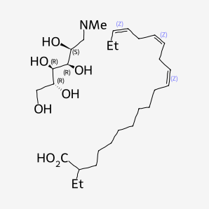 CC/C=C\C/C=C\C/C=C\CCCCCCCCC(CC)C(=O)O.CNC[C@H](O)[C@@H](O)[C@H](O)[C@H](O)CO